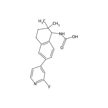 CC1(C)CCc2cc(-c3ccnc(F)c3)ccc2C1NC(=O)O